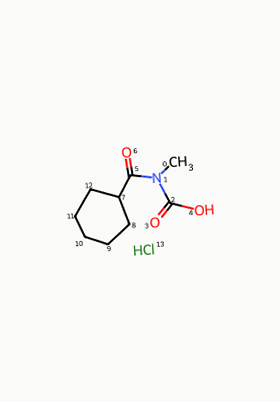 CN(C(=O)O)C(=O)C1CCCCC1.Cl